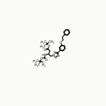 CC(C)(C)OC(=O)CC(Cn1nnc(-c2cccc(OCCc3ccccc3)c2)n1)NC(=O)OC(C)(C)C